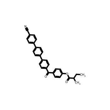 CCC(C)C(=O)Oc1ccc(C(=O)c2ccc(-c3ccc(-c4ccc(C#N)cc4)cc3)cc2)cc1